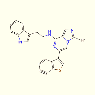 CC(C)c1ncc2c(NCCc3c[nH]c4ccccc34)nc(-c3csc4c#cccc34)cn12